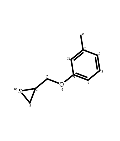 Cc1cccc(OCC2CS2)c1